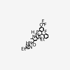 CCn1cnc(NC(=O)c2cc3c(nc2C)nc(C(c2ccccc2F)c2ccc(OC(F)F)cc2P)n3CC)n1